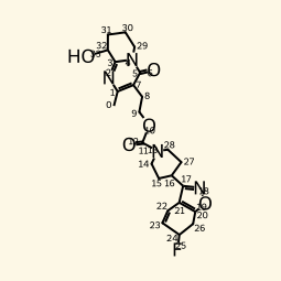 Cc1nc2n(c(=O)c1CCOC(=O)N1CCC(c3noc4c3C=CC(F)C4)CC1)CCCC2O